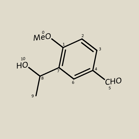 COc1ccc(C=O)cc1C(C)O